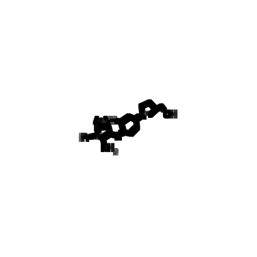 CC(=O)NC1=CC(=[N+]2\CCC(CO)C2)/C=CC/1=N/c1cnn(C(C)C)c1N